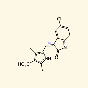 Cc1[nH]c(/C=C2\C(=O)N=C3CC=C(Cl)C=C32)c(C)c1C(=O)O